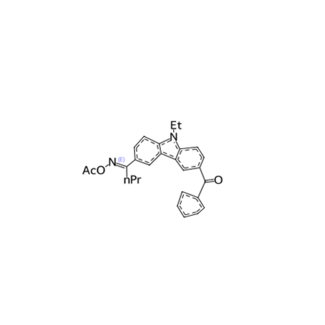 CCC/C(=N\OC(C)=O)c1ccc2c(c1)c1cc(C(=O)c3ccccc3)ccc1n2CC